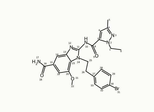 CCn1nc(C)cc1C(=O)Nc1nc2cc(C(N)=O)cc(OC)c2n1CCc1ccc(Br)cc1